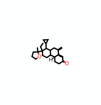 C=C1CC2C(CCC(CC)(C3(C)CCCO3)C2C2CC2)[C@H]2CCC(=O)C=C12